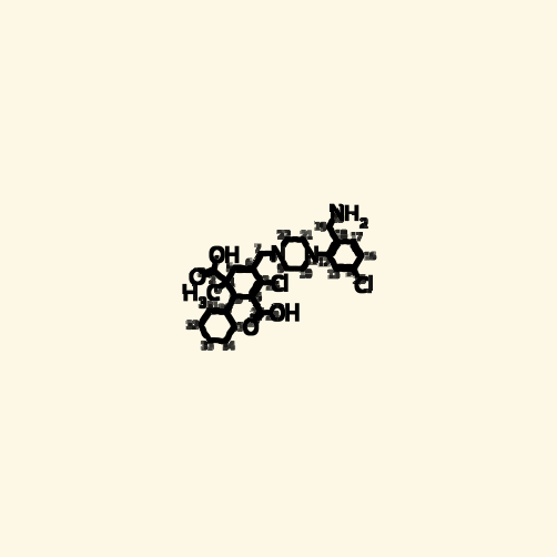 CC1(C(=O)O)C=C(CN2CCN(c3cc(Cl)ccc3CN)CC2)C(Cl)=C(C(=O)O)C1C1CCCCC1